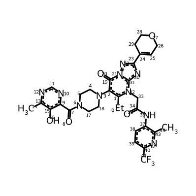 CCc1c(N2CCN(C(=O)c3ncnc(C)c3O)CC2)c(=O)n2nc(C3=CCOCC3)nc2n1CC(=O)Nc1ccc(C(F)(F)F)nc1C